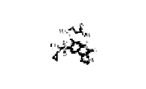 CCCC(=O)O.CN(C1CC1)S(=O)(=O)c1cc2c(cc1F)[nH]c(=O)c1[nH]ccc12